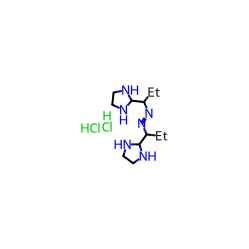 CCC(N=NC(CC)C1NCCN1)C1NCCN1.Cl.Cl